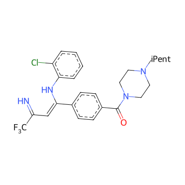 CCCC(C)N1CCN(C(=O)c2ccc(/C(=C/C(=N)C(F)(F)F)Nc3ccccc3Cl)cc2)CC1